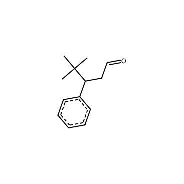 CC(C)(C)C(CC=O)c1ccccc1